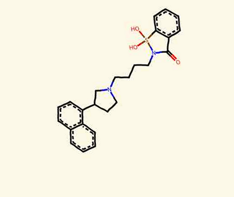 O=C1c2ccccc2S(O)(O)N1CCCCN1CCC(c2cccc3ccccc23)C1